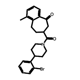 Cc1cccc2c1CCC(C(=O)N1CCC(c3ccccc3Br)CC1)CC2=O